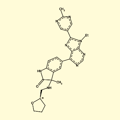 CCn1c(-c2cnc(C)nc2)nc2c(-c3ccc4c(c3)C(C)(NC[C@H]3CCCO3)C(=O)N4)ncnc21